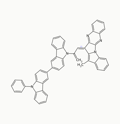 C=C(/C=c1/c2nc3ccccc3nc2n2c1c(C)c1ccccc12)n1c2ccccc2c2cc(-c3ccc4c(c3)c3ccccc3n4-c3ccccc3)ccc21